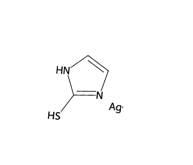 Sc1ncc[nH]1.[Ag]